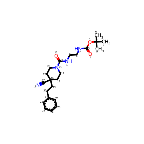 CC(C)(C)OC(=O)NCCNC(=O)N1CCC(C#N)(CCc2ccccc2)CC1